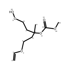 C=COCCC(C)(CCOO)OC(=O)OC